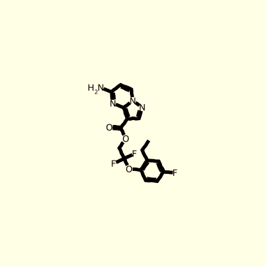 CCc1cc(F)ccc1OC(F)(F)COC(=O)c1cnn2ccc(N)nc12